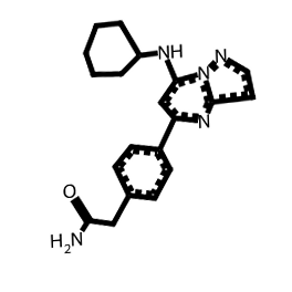 NC(=O)Cc1ccc(-c2cc(NC3CCCCC3)n3nccc3n2)cc1